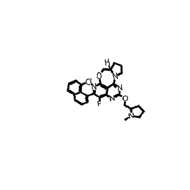 CN1CCCC1COc1nc2c3c(nc(-c4cccc5cccc(Cl)c45)c(F)c3n1)OC[C@@H]1CCCN21